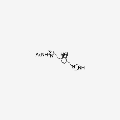 CC(=O)Nc1nc(CCc2ccc(CCN3CCNCC3)cc2)cs1.Cl.Cl